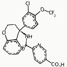 O=C(O)c1ccc(C(=O)N[C@]2(c3ccc(OC(F)(F)F)c(Cl)c3)CCOc3cccnc32)nc1